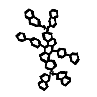 c1ccc(-c2ccc(-c3c4ccc5cc(N(c6ccc7ccccc7c6)c6ccc7ccccc7c6)ccc5c4c(-c4ccc(-c5ccccc5)cc4)c4ccc5cc(N(c6ccc7ccccc7c6)c6ccc7ccccc7c6)ccc5c34)cc2)cc1